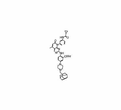 COc1cc(N2CCN(CC34CC5CC(CC(C5)C3)C4)CC2)ccc1Nc1ncc2c(C)cc(=O)n(-c3cccc(NC(=O)C4CC4)c3)c2n1